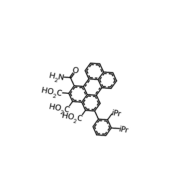 CC(C)c1cccc(-c2cc3c4cccc5cccc(c6c(C(N)=O)c(C(=O)O)c(C(=O)O)c(c2C(=O)O)c36)c54)c1C(C)C